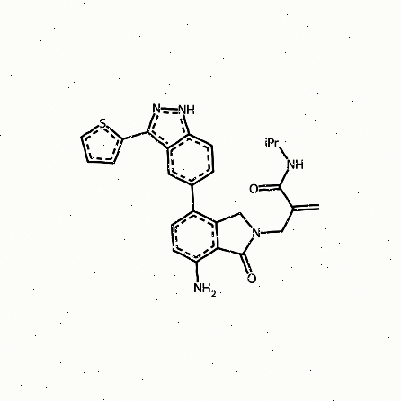 C=C(CN1Cc2c(-c3ccc4[nH]nc(-c5cccs5)c4c3)ccc(N)c2C1=O)C(=O)NC(C)C